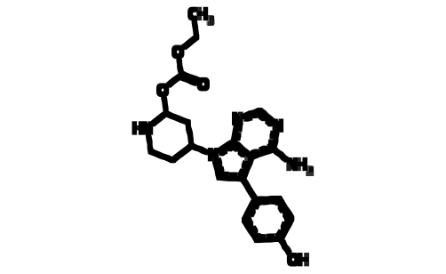 CCOC(=O)OC1CC(n2cc(-c3ccc(O)cc3)c3c(N)ncnc32)CCN1